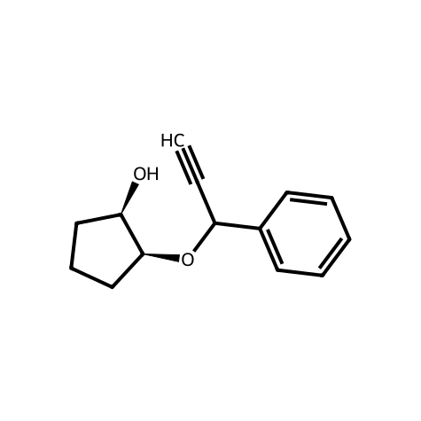 C#CC(O[C@H]1CCC[C@H]1O)c1ccccc1